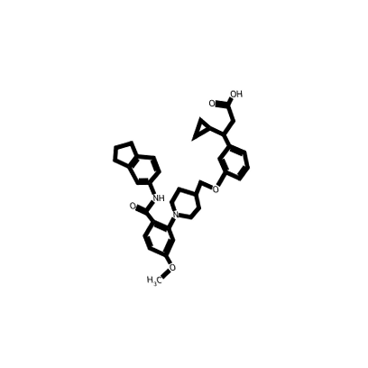 COc1ccc(C(=O)Nc2ccc3c(c2)CCC3)c(N2CCC(COc3cccc(C(CC(=O)O)C4CC4)c3)CC2)c1